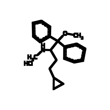 CNC(CCC1CC1)C(OC)(c1ccccc1)c1ccccc1.Cl